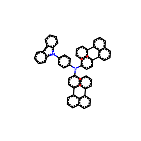 c1ccc(-c2cccc3cccc(-c4ccc(N(c5ccc(-c6cccc7cccc(-c8ccccc8)c67)cc5)c5ccc(-n6c7ccccc7c7ccccc76)cc5)cc4)c23)cc1